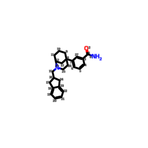 NC(=O)c1cccc(C23CCCC(C2)N(CC2Cc4ccccc4C2)CC3)c1